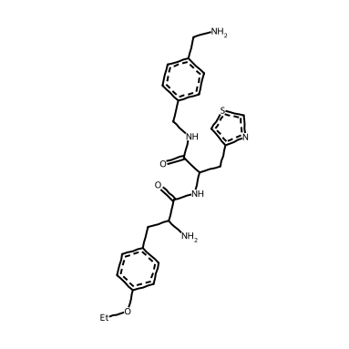 CCOc1ccc(CC(N)C(=O)NC(Cc2cscn2)C(=O)NCc2ccc(CN)cc2)cc1